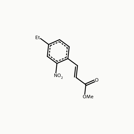 CCc1ccc(C=CC(=O)OC)c([N+](=O)[O-])c1